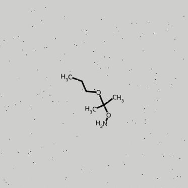 CCCOC(C)(C)ON